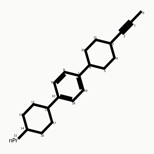 CC#CC1CCC(c2ccc(C3CCC(CCC)CC3)cc2)CC1